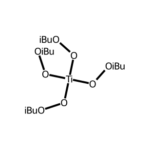 CC(C)CO[O][Ti]([O]OCC(C)C)([O]OCC(C)C)[O]OCC(C)C